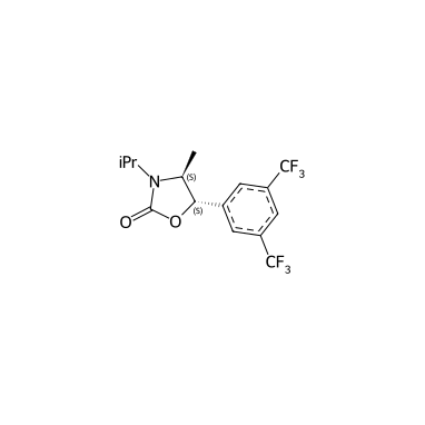 CC(C)N1C(=O)O[C@@H](c2cc(C(F)(F)F)cc(C(F)(F)F)c2)[C@@H]1C